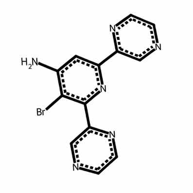 Nc1cc(-c2cnccn2)nc(-c2cnccn2)c1Br